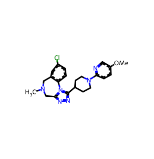 COc1ccc(N2CCC(c3nnc4n3-c3ccc(Cl)cc3CN(C)C4)CC2)nc1